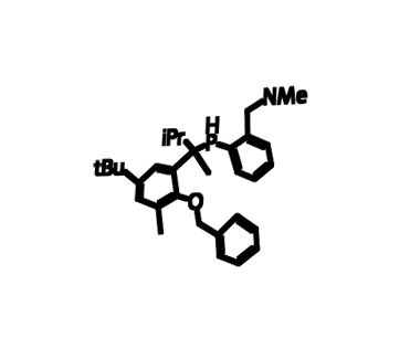 CNCc1ccccc1PC(C)(c1cc(C(C)(C)C)cc(C)c1OCc1ccccc1)C(C)C